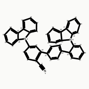 N#Cc1ccc(-n2c3ccccc3c3ccccc32)cc1-c1ccc(-c2ccccc2-n2c3ccccc3c3ccccc32)cc1